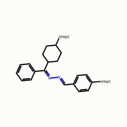 CCCCCCCc1ccc(C=NN=C(c2ccccc2)C2CCC(CCCCCCC)CC2)cc1